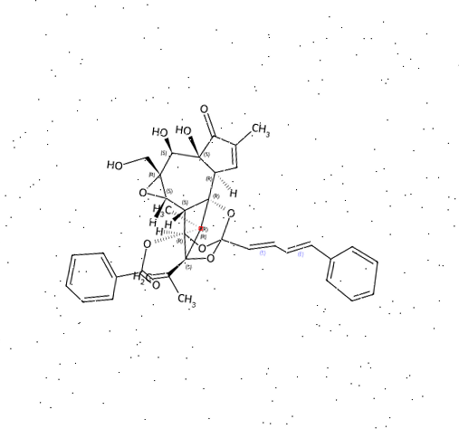 C=C(C)[C@@]12OC3(/C=C/C=C/c4ccccc4)O[C@@H]1[C@@H]1[C@@H]4O[C@]4(CO)[C@@H](O)[C@]4(O)C(=O)C(C)=C[C@H]4[C@@]1(O3)[C@H](C)[C@H]2OC(=O)c1ccccc1